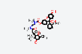 CC1=CC(=O)C(C)=C(C(C)(C)CC(=O)N(C)CCN(C)C(=O)Oc2ccc3c(c2)Oc2cc(O)ccc2C3(O)c2ccccc2C=O)C1=O